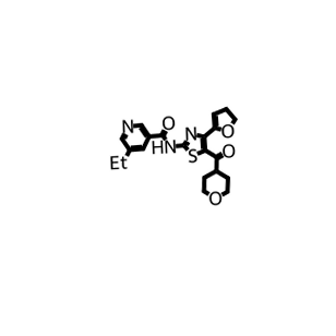 CCc1cncc(C(=O)Nc2nc(C3=CCCO3)c(C(=O)C3CCOCC3)s2)c1